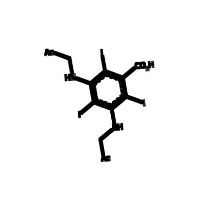 CC(=O)CNc1c(I)c(NCC(C)=O)c(I)c(C(=O)O)c1I